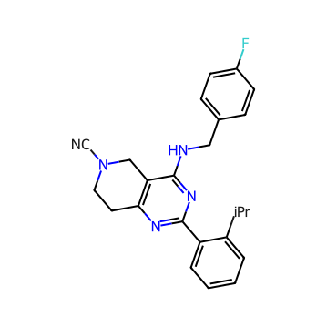 CC(C)c1ccccc1-c1nc2c(c(NCc3ccc(F)cc3)n1)CN(C#N)CC2